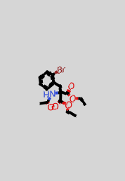 CCOC(=O)C(Cc1ccccc1Br)(NC(C)=O)C(=O)OCC